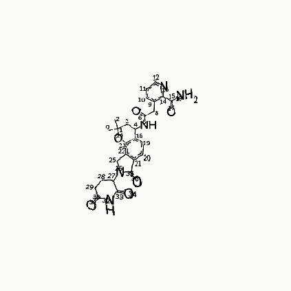 CC1(C)CC(NC(=O)Cc2cccnc2C(N)=O)c2ccc3c(c2O1)CN(C1CCC(=O)NC1=O)C3=O